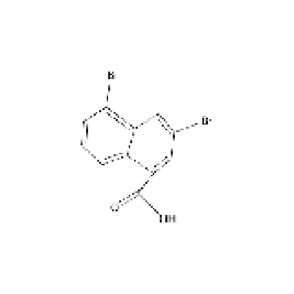 O=C(O)c1cc(Br)cc2c(Br)cccc12